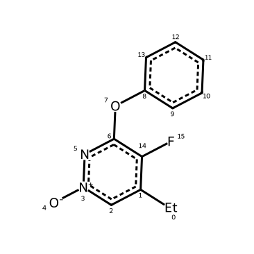 CCc1c[n+]([O-])nc(Oc2ccccc2)c1F